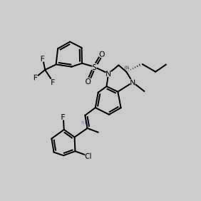 CCC[C@H]1CN(S(=O)(=O)c2cccc(C(F)(F)F)c2)c2cc(/C=C(\C)c3c(F)cccc3Cl)ccc2N1C